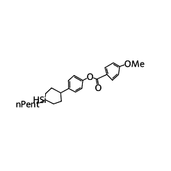 CCCCC[SiH]1CCC(c2ccc(OC(=O)c3ccc(OC)cc3)cc2)CC1